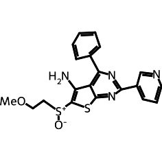 COCC[S+]([O-])c1sc2nc(-c3cccnc3)nc(-c3ccccc3)c2c1N